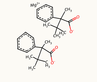 CC(C)(C)C(C)(C(=O)[O-])c1ccccc1.CC(C)(C)C(C)(C(=O)[O-])c1ccccc1.[Mg+2]